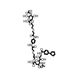 CC(=O)N[C@@H]1C(O)C[C@](OCCCSCCC(=O)Nc2ccc(NC(=O)CCSCCCO[C@]3(C(=O)O)C[C@H](O)[C@@H](NC(C)=O)[C@H](O)O3)cc2)(C(=O)O)OC1C(O)[C@H](O)CNC(=O)c1ccc(-c2ccccc2)cc1